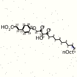 CCCCCCCC/C=C\CCCCCCCC(=O)C(O)C(=O)COc1ccc(C=CC(=O)O)cc1